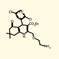 CCOC(=O)C1=C(COCCN)NC2=C(C(=O)CC(C)(C)C2)C1c1cc(Cl)ccc1Cl